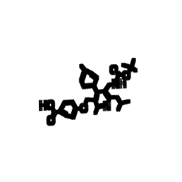 Cc1ccc(-c2c(COc3ccc(C(=O)O)cc3)c(C)nc(CC(C)C)c2CNC(=O)OC(C)(C)C)cc1